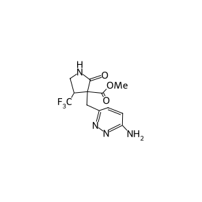 COC(=O)C1(Cc2ccc(N)nn2)C(=O)NCC1C(F)(F)F